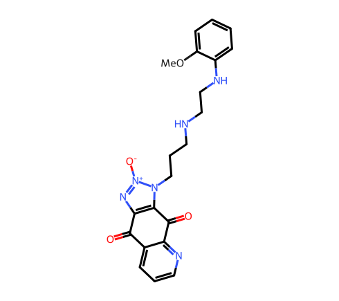 COc1ccccc1NCCNCCCn1c2c(n[n+]1[O-])C(=O)c1cccnc1C2=O